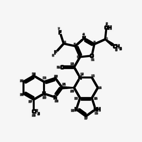 C[C@H](O)c1nc(C(F)F)c(C(=O)N2CCc3[nH]cnc3[C@H]2c2cc3cccc(C(F)(F)F)n3n2)o1